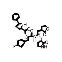 O=C1OCCC1=C[C@H](C[C@@H]1CCNC1=O)NC(=O)[C@@H](CC(=O)c1ccc(-c2ccccc2)[nH]1)Cc1ccc(F)cc1